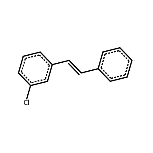 Clc1cccc(C=Cc2cc[c]cc2)c1